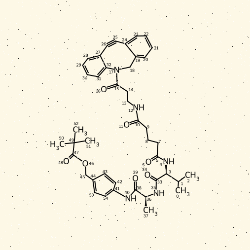 CC(C)[C@H](NC(=O)CCCC(=O)NCCC(=O)N1Cc2ccccc2C#Cc2ccccc21)C(=O)N[C@@H](C)C(=O)Nc1ccc(COC(=O)C(C)(C)C)cc1